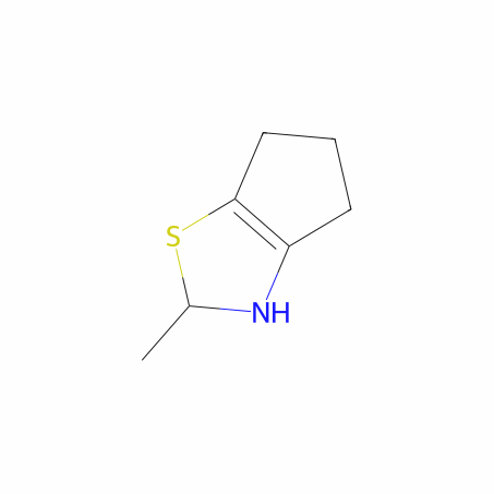 CC1NC2=C(CCC2)S1